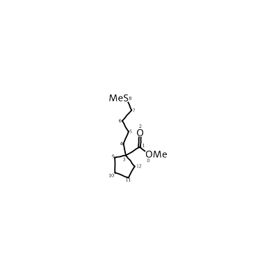 COC(=O)C1(CCCCSC)CCCC1